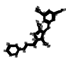 Cc1c(Oc2cc(F)cc(C#N)c2)c(C(F)(F)F)nn1CCOC1CCCCO1